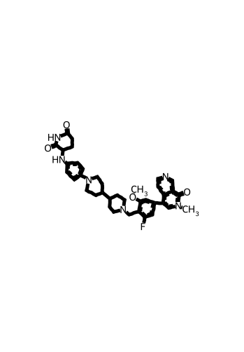 COc1cc(-c2cn(C)c(=O)c3cnccc23)cc(F)c1CN1CCC(C2CCN(c3ccc(NC4CCC(=O)NC4=O)cc3)CC2)CC1